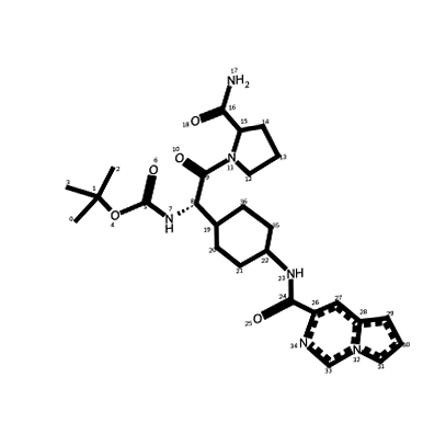 CC(C)(C)OC(=O)N[C@H](C(=O)N1CCCC1C(N)=O)C1CCC(NC(=O)c2cc3cccn3cn2)CC1